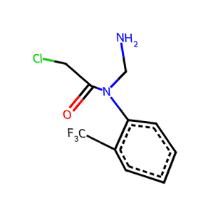 NCN(C(=O)CCl)c1ccccc1C(F)(F)F